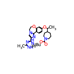 CC(=N)/N=C(\NC(C)C)c1cn2c(n1)-c1ccc(OC(C)C3CCCN(C(=O)OC(C)(C)C)CC3)cc1OCC2